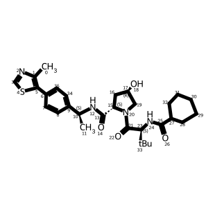 Cc1ncsc1-c1ccc([C@H](C)NC(=O)[C@@H]2C[C@@H](O)CN2C(=O)[C@@H](NC(=O)C2CCCCC2)C(C)(C)C)cc1